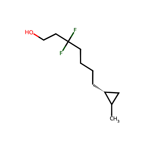 CC1C[C@H]1CCCCC(F)(F)CCO